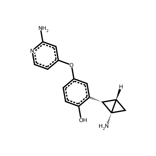 Nc1cc(Oc2ccc(O)c([C@@H]3[C@@H]4C[C@@]34N)c2)ccn1